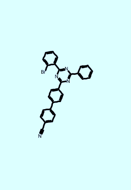 N#Cc1ccc(-c2ccc(-c3nc(-c4ccccc4)nc(-c4ccccc4Br)n3)cc2)cc1